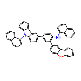 c1ccc2c(Nc3ccc(-c4ccc5c(c4)c4ccccc4n5-c4cccc5ccccc45)cc3-c3ccc4oc5ccccc5c4c3)cccc2c1